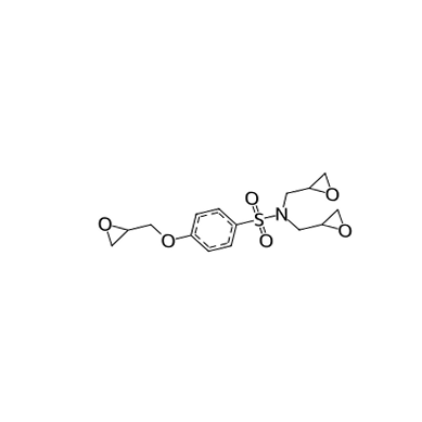 O=S(=O)(c1ccc(OCC2CO2)cc1)N(CC1CO1)CC1CO1